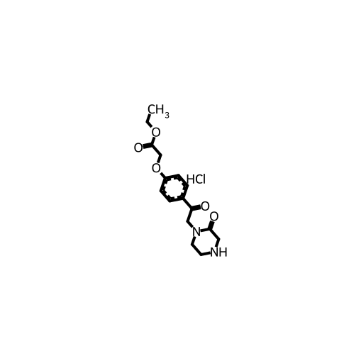 CCOC(=O)COc1ccc(C(=O)CN2CCNCC2=O)cc1.Cl